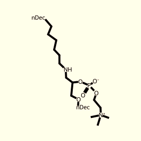 CCCCCCCCCCCCCCCCNCC(COCCCCCCCCCC)OP(=O)([O-])OCC[N+](C)(C)C